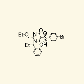 CCOCc1nc(=O)c(S(=O)(=O)c2ccc(Br)cc2)c(O)n1C(CC)c1ccccc1